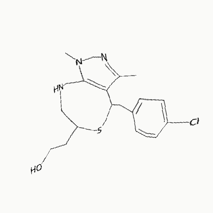 Cc1nn(C)c2c1C(c1ccc(Cl)cc1)SC(CCO)CN2